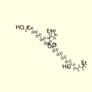 CC/C=C\C/C=C\CC(O)CCCCCCCCC(=O)OC(C/C=C\C/C=C\CC)CCCCCCCCC(=O)O